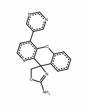 NC1=NC2(CO1)c1ccccc1Oc1c(-c3cncnc3)ccnc12